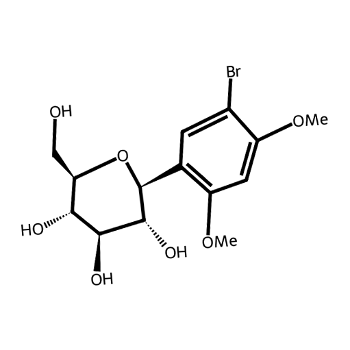 COc1cc(OC)c([C@@H]2O[C@H](CO)[C@@H](O)[C@H](O)[C@H]2O)cc1Br